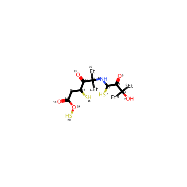 CCC(O)(CC)C(=O)C(S)NC(CC)(CC)C(=O)C(S)CC(=O)OS